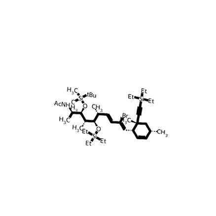 CC[Si](C#C[C@]1(C)C[C@H](C)C=C[C@@H]1/C=C(Br)/C=C/[C@@H](C)[C@@H](O[Si](CC)(CC)CC)[C@H](C)[C@H](O[Si](C)(C)C(C)(C)C)[C@@H](C)NC(C)=O)(CC)CC